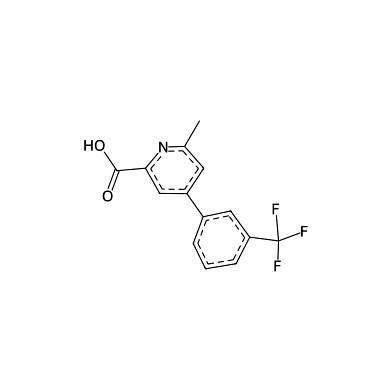 Cc1cc(-c2cccc(C(F)(F)F)c2)cc(C(=O)O)n1